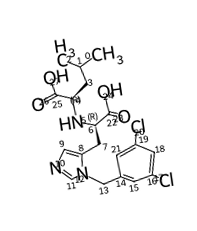 CC(C)C[C@@H](N[C@H](Cc1cncn1Cc1cc(Cl)cc(Cl)c1)C(=O)O)C(=O)O